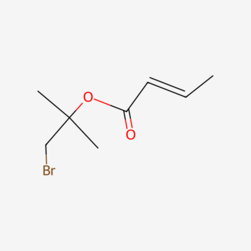 CC=CC(=O)OC(C)(C)CBr